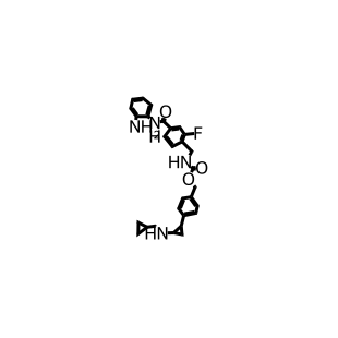 Nc1ccccc1NC(=O)c1ccc(CNC(=O)OCc2ccc(C3CC3NCC3CC3)cc2)c(F)c1